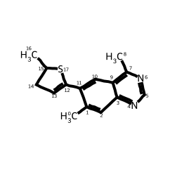 Cc1cc2ncnc(C)c2cc1C1=CCC(C)S1